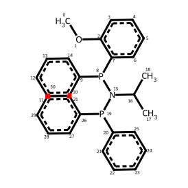 COc1ccccc1P(c1ccccc1)N(C(C)C)P(c1ccccc1)c1ccccc1